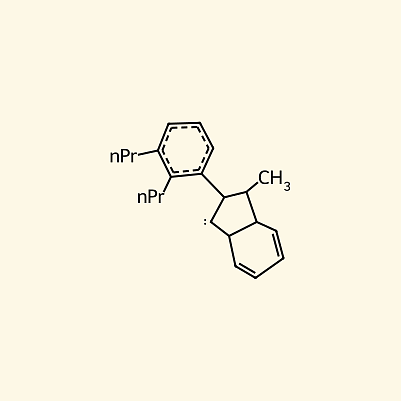 CCCc1cccc(C2[C]C3C=CC=CC3C2C)c1CCC